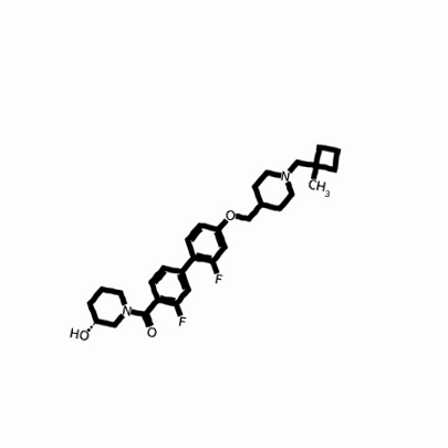 CC1(CN2CCC(COc3ccc(-c4ccc(C(=O)N5CCC[C@@H](O)C5)c(F)c4)c(F)c3)CC2)CCC1